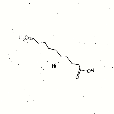 C=CCCCCCCCCC(=O)O.[Ni]